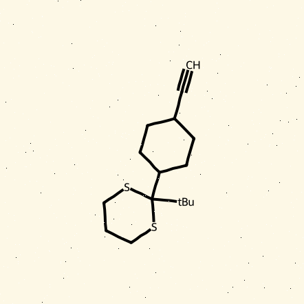 C#CC1CCC(C2(C(C)(C)C)SCCCS2)CC1